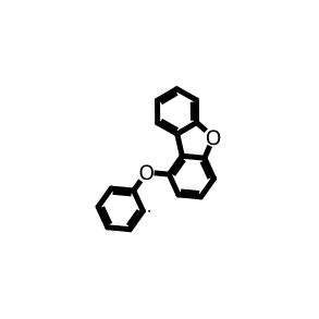 [c]1ccccc1Oc1cccc2oc3ccccc3c12